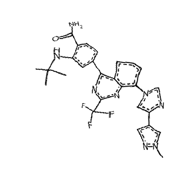 Cn1cc(-c2cn(-c3cccc4c(-c5ccc(C(N)=O)c(NC(C)(C)C)c5)nc(C(F)(F)F)nc34)cn2)cn1